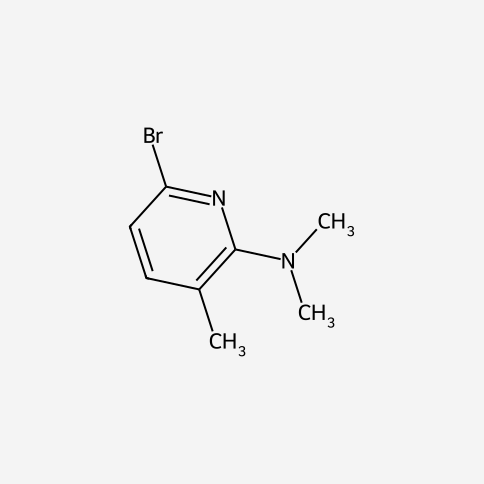 Cc1ccc(Br)nc1N(C)C